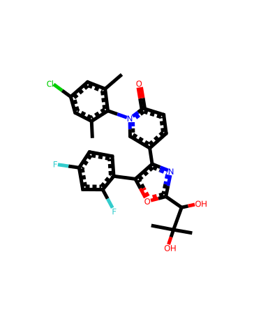 Cc1cc(Cl)cc(C)c1-n1cc(-c2nc(C(O)C(C)(C)O)oc2-c2ccc(F)cc2F)ccc1=O